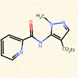 CCOC(=O)c1cnn(C)c1NC(=O)c1ccccn1